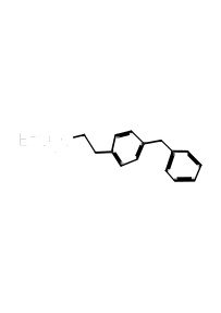 CCOC(=O)CCc1ccc(Cc2ccccc2)cc1